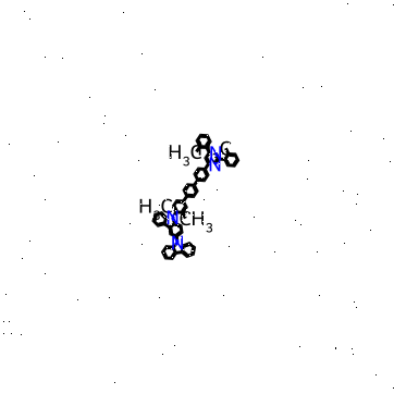 Cc1ccccc1-c1cc(-c2ccc(-c3ccc(-c4cc(C)c(-n5c6ccccc6c6cc(-n7c8ccccc8c8ccccc87)ccc65)c(C)c4)cc3)cc2)nc(-c2ccccc2C)n1